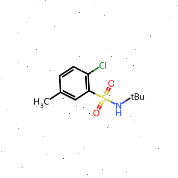 Cc1ccc(Cl)c(S(=O)(=O)NC(C)(C)C)c1